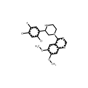 COc1cc2ncnc(N3CCNC(c4cc(F)c(Cl)cc4Cl)C3)c2cc1OC